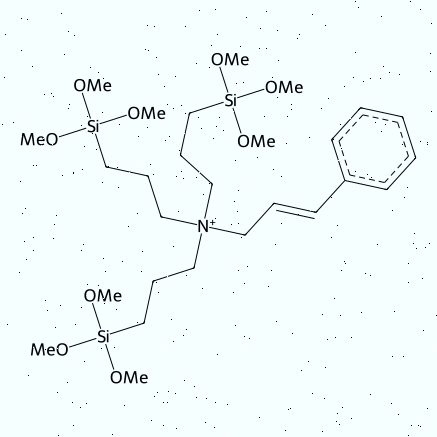 CO[Si](CCC[N+](CC=Cc1ccccc1)(CCC[Si](OC)(OC)OC)CCC[Si](OC)(OC)OC)(OC)OC